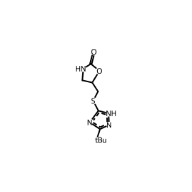 CC(C)(C)c1n[nH]c(SCC2CNC(=O)O2)n1